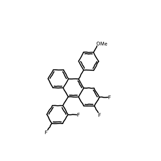 COc1ccc(-c2c3ccccc3c(-c3ccc(F)cc3F)c3cc(F)c(F)cc23)cc1